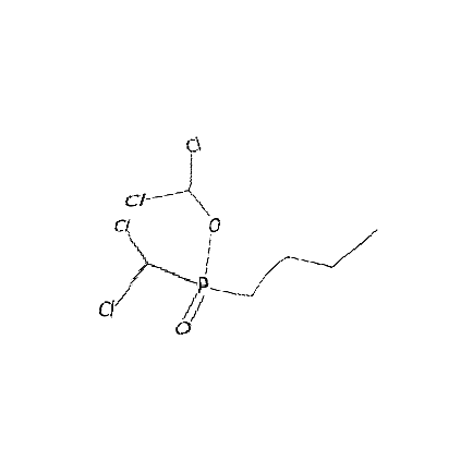 CCCCP(=O)(OC(Cl)Cl)C(Cl)Cl